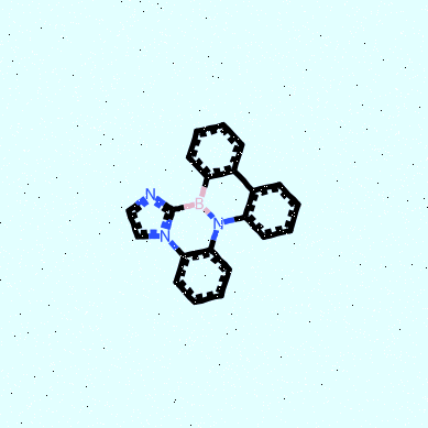 c1ccc2c(c1)B1c3nccn3-c3ccccc3N1c1ccccc1-2